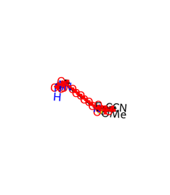 COc1cc(C=C2SC(=O)N(CCOCCOCCOCCOCCOCCOCCNc3cccc4c3C(=O)N(C3CCC(=O)NC3=O)C4=O)C2=O)ccc1Oc1ccc(C#N)cc1C(F)(F)F